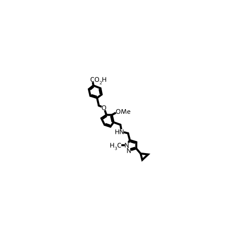 COc1c(CNCc2cc(C3CC3)nn2C)cccc1OCc1ccc(C(=O)O)cc1